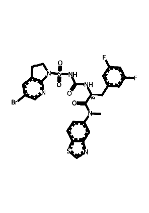 CN(C(=O)[C@H](Cc1cc(F)cc(F)c1)NC(=O)NS(=O)(=O)N1CCc2cc(Br)cnc21)c1ccc2scnc2c1